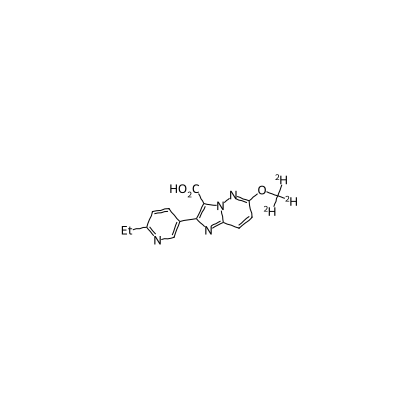 [2H]C([2H])([2H])Oc1ccc2nc(-c3ccc(CC)nc3)c(C(=O)O)n2n1